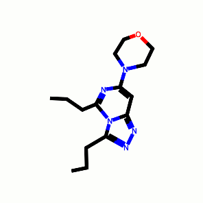 CCCc1nnc2cc(N3CCOCC3)nc(CCC)n12